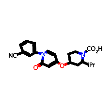 CC(C)C1CC(Oc2ccn(-c3cccc(C#N)c3)c(=O)c2)CCN1C(=O)O